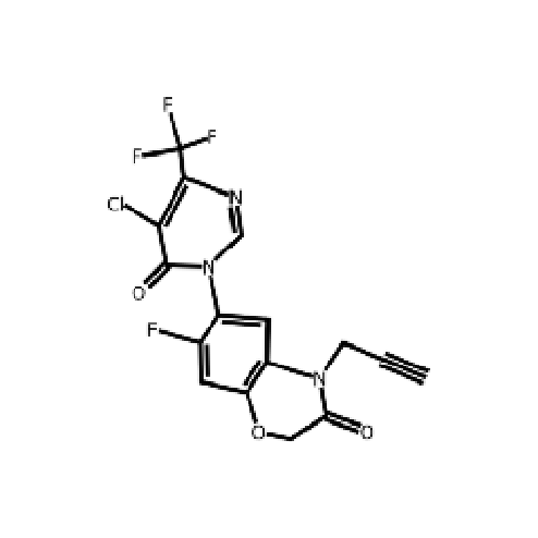 C#CCN1C(=O)COc2cc(F)c(-n3cnc(C(F)(F)F)c(Cl)c3=O)cc21